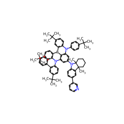 CC(C)(C)c1ccc(N2c3ccc(C(C)(C)C)cc3B3c4ccc(C(C)(C)C)cc4N(c4ccc(C(C)(C)C)cc4-c4ccccc4)c4cc(N5c6ccc(-c7cccnc7)cc6C6(C)CCCCC56C)cc2c43)cc1